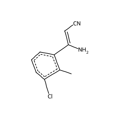 Cc1c(Cl)cccc1/C(N)=C/C#N